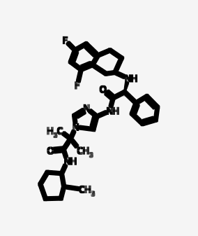 CC1CCCCC1NC(=O)C(C)(C)n1cnc(NC(=O)[C@@H](NC2CCc3cc(F)cc(F)c3C2)c2ccccc2)c1